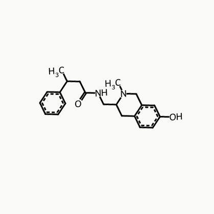 CC(CC(=O)NCC1Cc2ccc(O)cc2CN1C)c1ccccc1